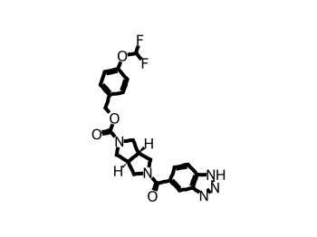 O=C(OCc1ccc(OC(F)F)cc1)N1C[C@@H]2CN(C(=O)c3ccc4[nH]nnc4c3)C[C@H]2C1